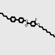 CCCCCCCCCOc1ccc(C(=O)Oc2ccc(-c3ccc(CCCCCC)cc3)cc2)cc1F